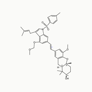 COCOc1cc(/C=C/c2cc3c(c(OC)c2)O[C@]2(C)CC[C@@H](O)C(C)(C)[C@H]2C3)cc2c1c(CC=C(C)C)cn2S(=O)(=O)c1ccc(C)cc1